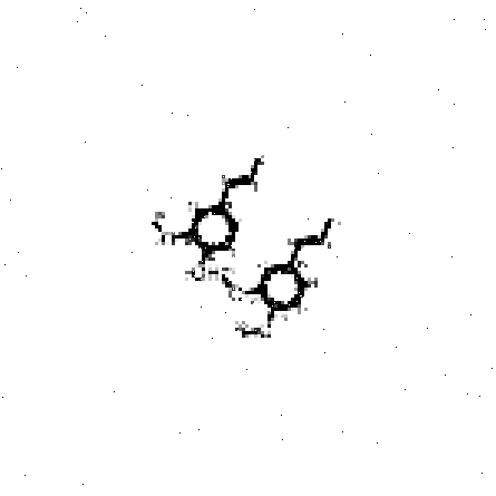 CC=Cc1ccc(O)c(OC)c1.CC=Cc1ccc(OC)c(OC)c1